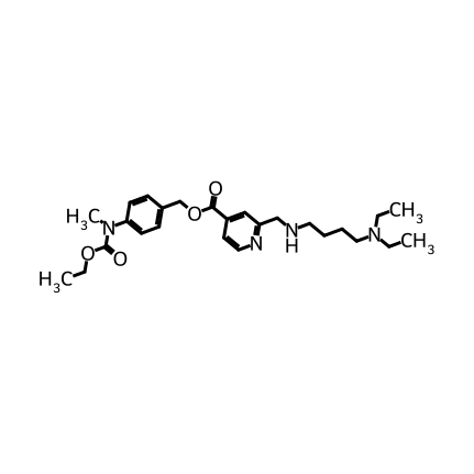 CCOC(=O)N(C)c1ccc(COC(=O)c2ccnc(CNCCCCN(CC)CC)c2)cc1